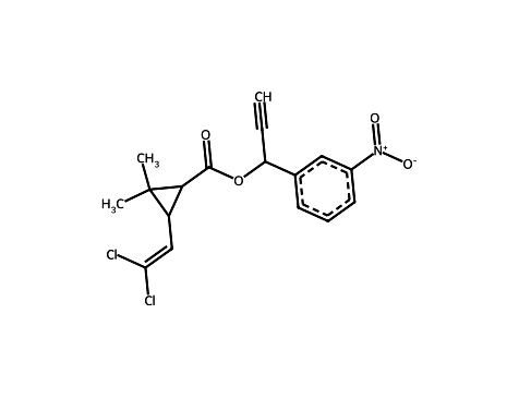 C#CC(OC(=O)C1C(C=C(Cl)Cl)C1(C)C)c1cccc([N+](=O)[O-])c1